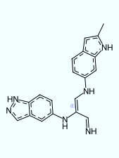 Cc1cc2ccc(N/C=C(\C=N)Nc3ccc4[nH]ncc4c3)cc2[nH]1